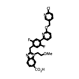 COCCn1c(Cc2cc(F)c(-c3cccc(OCc4ccc(Cl)nc4)n3)cc2F)nc2ccc(C(=O)O)cc21